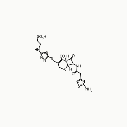 Nc1nc(CC(=O)NC2C(=O)N3C(C(=O)O)=C(CSc4nnc(NCCS(=O)(=O)O)s4)CS[C@@H]23)cs1